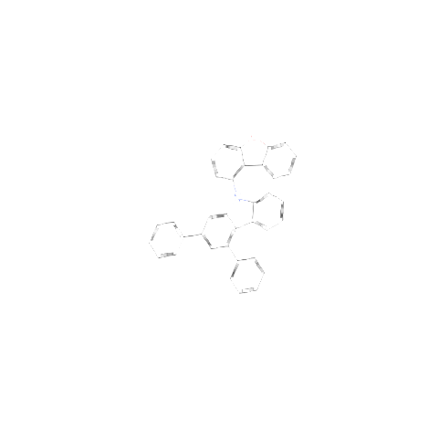 c1ccc(-c2cc(-c3ccccc3)c3c4ccccc4n(-c4cccc5oc6ccccc6c45)c3c2)cc1